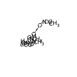 CNC(=O)[C@@](C)(C(=O)NOC1CCCCO1)N(C)C(=O)c1ccc(C#Cc2ccc(CN3CCC(OC)CC3)cc2)cc1